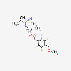 COCc1c(F)c(F)c(COC(=O)[C@@H]2[C@@H](/C=C(\C#N)C(C)C)C2(C)C)c(F)c1F